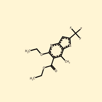 CCOC(=O)c1c(OCC)nc2cc(C(F)(F)F)sc2c1C